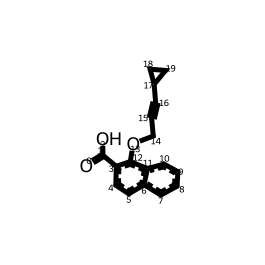 O=C(O)c1ccc2ccccc2c1OCC#CC1CC1